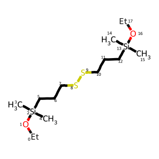 CCO[Si](C)(C)CCCSSCCC[Si](C)(C)OCC